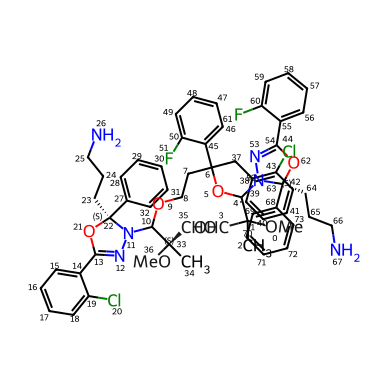 COC(C)(C=O)C(OC(CCOC(N1N=C(c2ccccc2Cl)O[C@@]1(CCCN)c1ccccc1)[C@@](C)(C=O)OC)(Cc1[c]cccc1Cl)c1ccccc1F)N1N=C(c2ccccc2F)O[C@@]1(CCCN)c1ccccc1